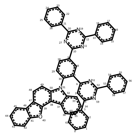 c1ccc(-c2cc(-c3cc(-c4nc(-c5ccccc5)nc(-c5ccccc5)n4)ccc3-n3c4ccccc4c4c5oc6ccccc6c5ccc43)nc(-c3ccccc3)n2)cc1